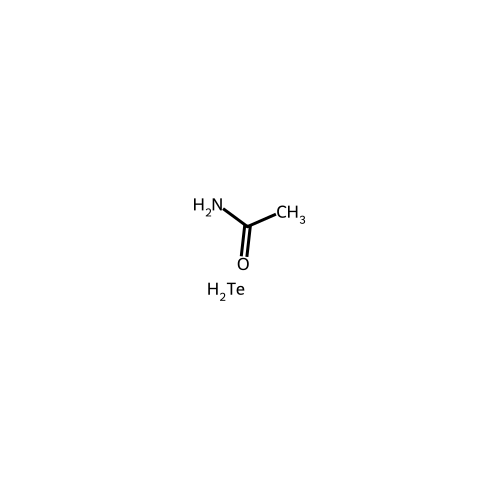 CC(N)=O.[TeH2]